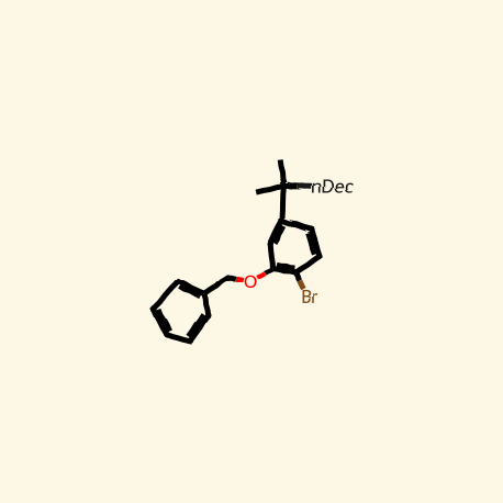 CCCCCCCCCCC(C)(C)c1ccc(Br)c(OCc2ccccc2)c1